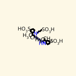 CC1(C)C(/C=C/C=C/C=C2/Nc3ccc(S(=O)(=O)O)cc3C2(C)C)=[N+](CCCCS(=O)(=O)O)c2ccc(S(=O)(=O)O)cc21